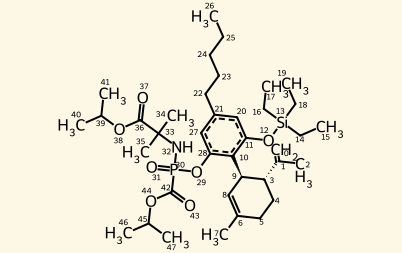 C=C(C)[C@@H]1CCC(C)=C[C@H]1c1c(O[Si](CC)(CC)CC)cc(CCCCC)cc1OP(=O)(NC(C)(C)C(=O)OC(C)C)C(=O)OC(C)C